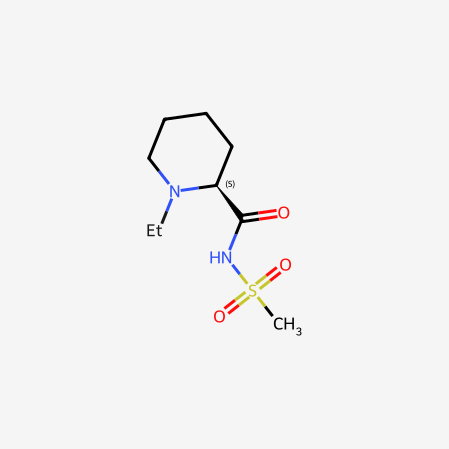 CCN1CCCC[C@H]1C(=O)NS(C)(=O)=O